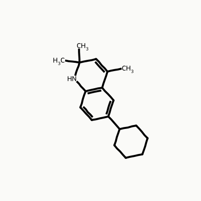 CC1=CC(C)(C)Nc2ccc(C3CCCCC3)cc21